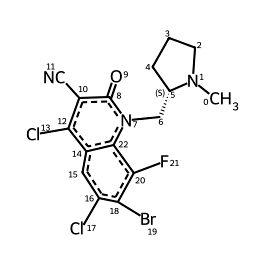 CN1CCC[C@H]1Cn1c(=O)c(C#N)c(Cl)c2cc(Cl)c(Br)c(F)c21